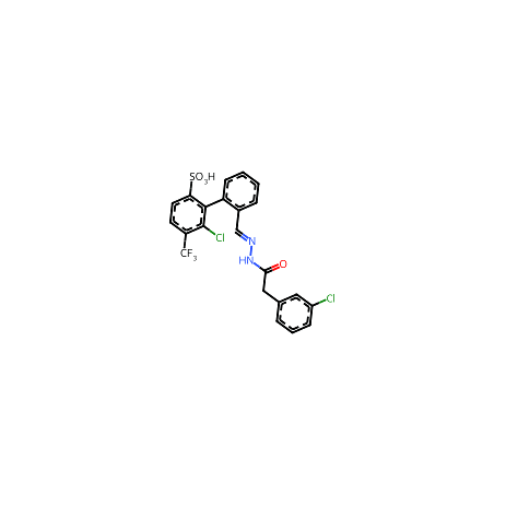 O=C(Cc1cccc(Cl)c1)N/N=C/c1ccccc1-c1c(S(=O)(=O)O)ccc(C(F)(F)F)c1Cl